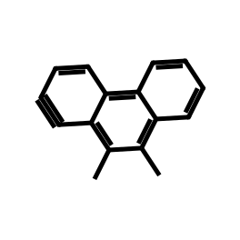 Cc1c(C)c2ccccc2c2ccc#cc12